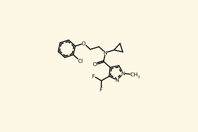 Cn1cc(C(=O)N(CCOc2ccccc2Cl)C2CC2)c(C(F)F)n1